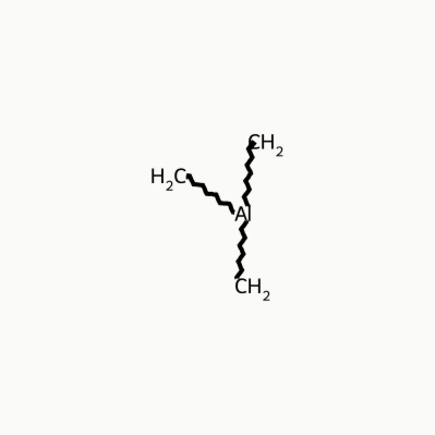 C=CCCCCCC[CH2][Al]([CH2]CCCCCCC=C)[CH2]CCCCCCC=C